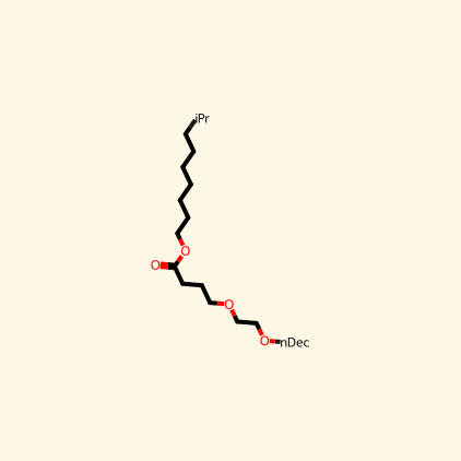 CCCCCCCCCCOCCOCCCC(=O)OCCCCCCCC(C)C